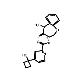 CN1C(=O)[C@@H](NC(=O)c2cc(C3(O)CCC3)ccn2)COc2ccccc21